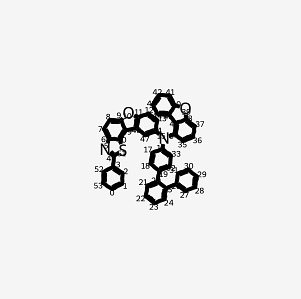 c1ccc(-c2nc3ccc4oc5ccc(N(c6ccc(-c7ccccc7-c7ccccc7)cc6)c6cccc7oc8ccccc8c67)cc5c4c3s2)cc1